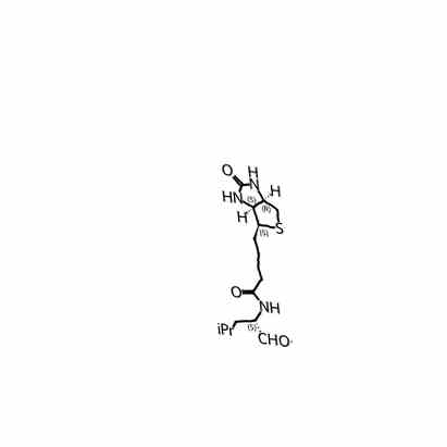 CC(C)C[C@@H]([C]=O)NC(=O)CCCC[C@@H]1SC[C@@H]2NC(=O)N[C@@H]21